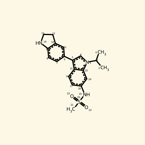 CC(C)n1cc(-c2ccc3c(c2)CCN3)c2ccc(NS(C)(=O)=O)cc21